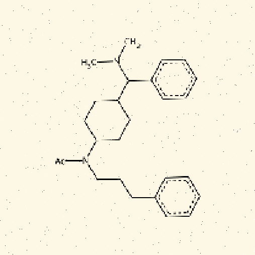 CC(=O)N(CCCc1ccccc1)C1CCC(C(c2ccccc2)N(C)C)CC1